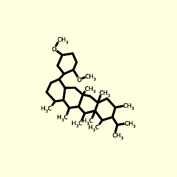 COC1CCC(OC)C(C2CCC(C)C3C(C)C4C(C)C5(C)C(C)C(C(C)C)C(C)CC5(C)CC4(C)CC23)C1